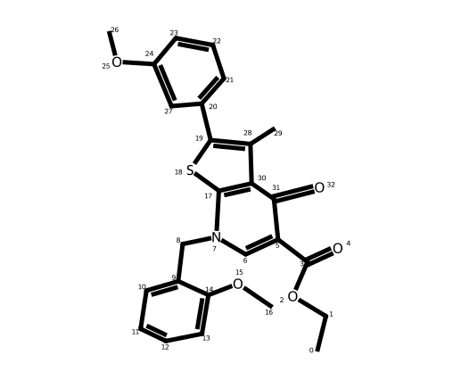 CCOC(=O)c1cn(Cc2ccccc2OC)c2sc(-c3cccc(OC)c3)c(C)c2c1=O